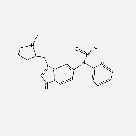 CN1CCCC1Cc1c[nH]c2ccc(N(c3ccccn3)[N+](=O)[O-])cc12